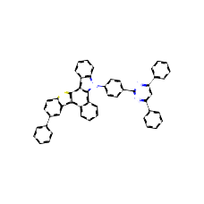 c1ccc(-c2ccc3sc4c(c3c2)c2ccccc2c2c4c3ccccc3n2-c2ccc(-c3nc(-c4ccccc4)cc(-c4ccccc4)n3)cc2)cc1